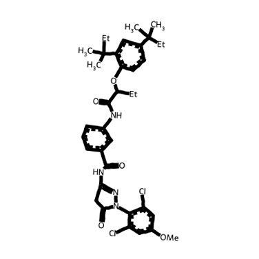 CCC(Oc1ccc(C(C)(C)CC)cc1C(C)(C)CC)C(=O)Nc1cccc(C(=O)NC2=NN(c3c(Cl)cc(OC)cc3Cl)C(=O)C2)c1